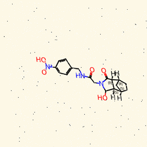 O=C(CN1C(=O)[C@@H]2[C@@H]3CC[C@@H](C3)[C@@H]2C1O)NCc1ccc([N+](=O)O)cc1